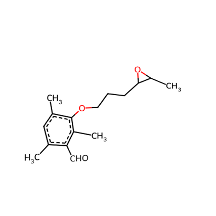 Cc1cc(C)c(OCCCC2OC2C)c(C)c1C=O